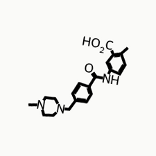 Cc1ccc(NC(=O)c2ccc(CN3CCN(C)CC3)cc2)cc1C(=O)O